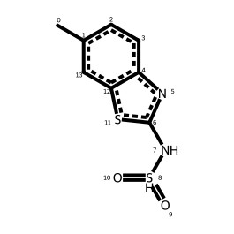 Cc1ccc2nc(N[SH](=O)=O)sc2c1